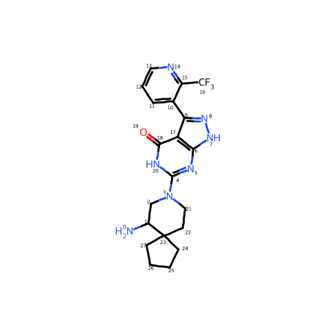 NC1CN(c2nc3[nH]nc(-c4cccnc4C(F)(F)F)c3c(=O)[nH]2)CCC12CCCC2